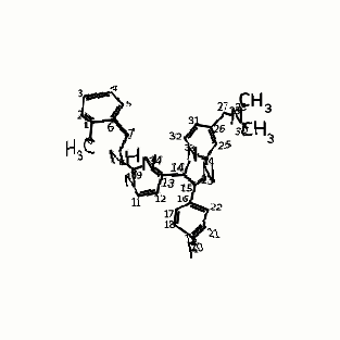 Cc1ccccc1CNc1nccc(C2C(c3ccc(F)cc3)N=C3C=C(CN(C)C)C=CN32)n1